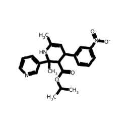 CC1=CC(c2cccc([N+](=O)[O-])c2)C(C(=O)OC(C)C)C(C)(c2cccnc2)N1